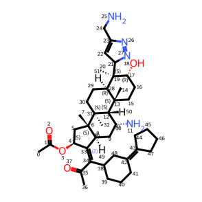 CC(=O)O[C@H]1C[C@@]2(C)[C@@H](C[C@@H](N)[C@H]3[C@@]4(C)CC[C@@H](O)[C@](C)(C5C=C(CN)N=N5)[C@@H]4CC[C@@]32C)/C1=C(/C(C)=O)C1CCCC(=C2CCCC2)C1